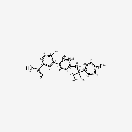 NC(=O)c1ccc(F)c(-c2ccc(NC3(c4ccc(F)cc4)CCC3)nn2)c1